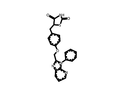 O=C1NC(=O)C(Cc2ccc(OCc3nc4cccnc4n3-c3ccccc3)cc2)S1